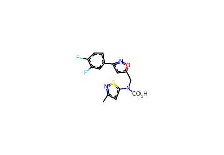 Cc1cc(N(Cc2cc(-c3ccc(F)c(F)c3)no2)C(=O)O)sn1